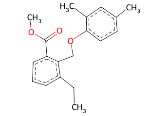 CCc1cccc(C(=O)OC)c1COc1ccc(C)cc1C